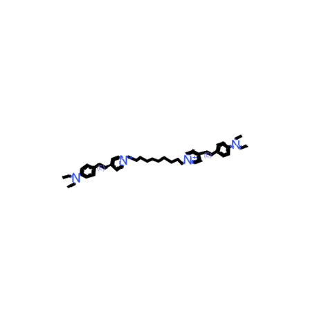 CCN(CC)c1ccc(/C=C/c2cc[n+](CCCCCCCCCC[n+]3ccc(/C=C/c4ccc(N(CC)CC)cc4)cc3)cc2)cc1